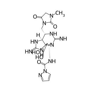 CN1CC(=O)N(C[C@@H]2NC(=N)N3C[C@H](NC(=O)n4cccn4)C(O)(O)[C@@]34NC(=N)N[C@@H]24)C1=O